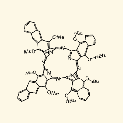 CCCCOc1c2c(c(OCCCC)c3ccccc13)-c1nc-2nc2[nH]c(nc3nc(nc4c5c(OCCCC)c6ccccc6c(OCCCC)c5c(n1)n4C)-c1c-3c(OC)c3cc4ccccc4cc3c1OC)c1c(OC)c3cc4ccccc4cc3c(OC)c21